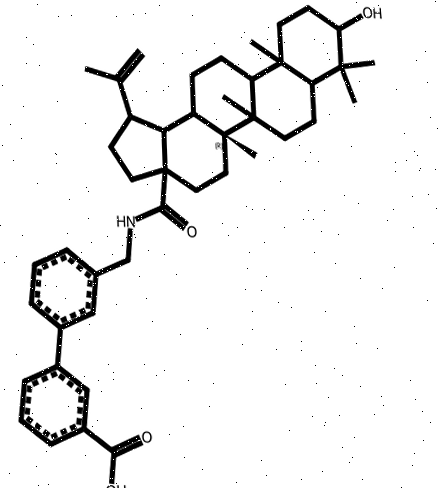 C=C(C)C1CCC2(C(=O)NCc3cccc(-c4cccc(C(=O)O)c4)c3)CC[C@]3(C)C(CCC4C5(C)CCC(O)C(C)(C)C5CCC43C)C12